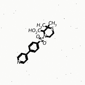 CC1(C)SCCN(S(=O)(=O)c2ccc(-c3ccncc3)cc2)C1C(=O)O